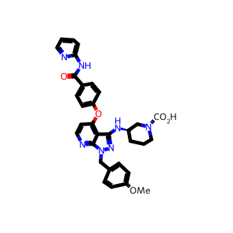 COc1ccc(Cn2nc(N[C@@H]3CCCN(C(=O)O)C3)c3c(Oc4ccc(C(=O)Nc5ccccn5)cc4)ccnc32)cc1